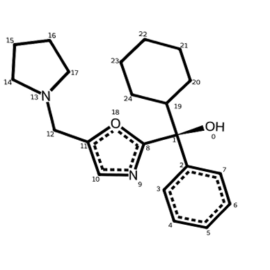 O[C@@](c1ccccc1)(c1ncc(CN2CCCC2)o1)C1CCCCC1